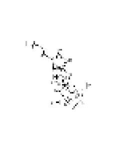 CCSc1nc(CC(=O)N2[C@@H]3CC[C@H]2C[C@@H](O)C3)cs1